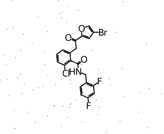 O=C(Cc1cccc(Cl)c1C(=O)NCc1ccc(F)cc1F)c1cc(Br)co1